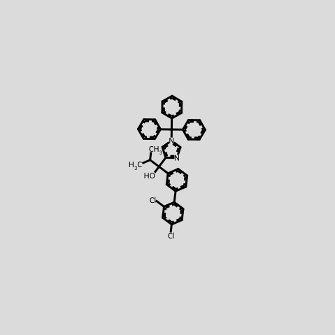 CC(C)C(O)(c1cccc(-c2ccc(Cl)cc2Cl)c1)c1cn(C(c2ccccc2)(c2ccccc2)c2ccccc2)cn1